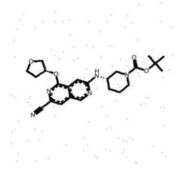 CC(C)(C)OC(=O)N1CCC[C@H](Nc2cc3c(O[C@H]4CCOC4)nc(C#N)cc3cn2)C1